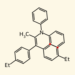 CCc1ccc(C(=C(C)N(c2ccccc2)c2ccccc2)c2ccc(CC)cc2)cc1